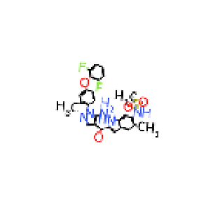 Cc1cc2cc(C(=O)c3cnn(-c4ccc(Oc5c(F)cccc5F)cc4C)c3N)[nH]c2cc1NS(C)(=O)=O